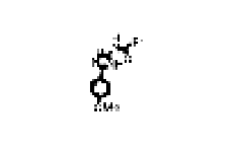 COc1ccc(-c2nnc(NC(=O)C(C)C)[nH]2)cc1